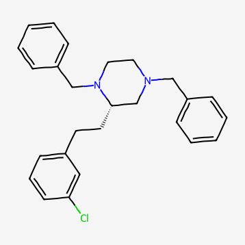 Clc1cccc(CC[C@H]2CN(Cc3ccccc3)CCN2Cc2ccccc2)c1